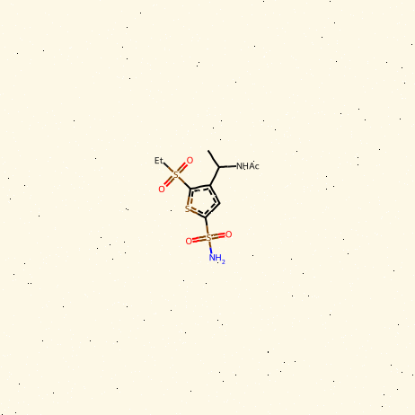 CCS(=O)(=O)c1sc(S(N)(=O)=O)cc1C(C)NC(C)=O